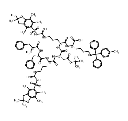 Cc1ccc(C(NCCCC[C@H](NC(=O)[C@H](CCCNC(=N)NS(=O)(=O)c2c(C)c(C)c3c(c2C)CC(C)(C)O3)NC(=O)[C@H](CC(=O)OC(C)(C)C)NC(=O)[C@H](CCCNC(=N)NS(=O)(=O)c2c(C)c(C)c3c(c2C)CC(C)(C)O3)NC(=O)[C@H](Cc2ccccc2)NC(=O)[C@@H](N)Cc2ccccc2)C(=O)O)(c2ccccc2)c2ccccc2)cc1